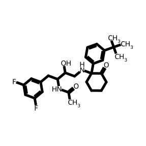 CC(=O)NC(Cc1cc(F)cc(F)c1)C(O)CNC1(c2cccc(C(C)(C)C)c2)CCCCC1=O